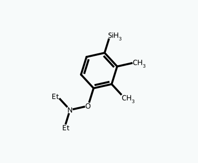 CCN(CC)Oc1ccc([SiH3])c(C)c1C